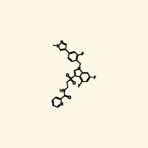 Cn1cc(-c2ccc(Cn3cc(S(=O)(=O)CCNC(=O)c4ccccn4)c4c(F)cc(F)cc43)c(F)c2)cn1